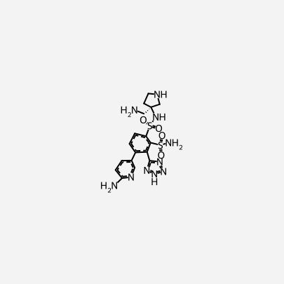 NC[C@]1(NS(=O)(=O)c2ccc(-c3ccc(N)nc3)c(-c3nn[nH]n3)c2S(N)(=O)=O)CCNC1